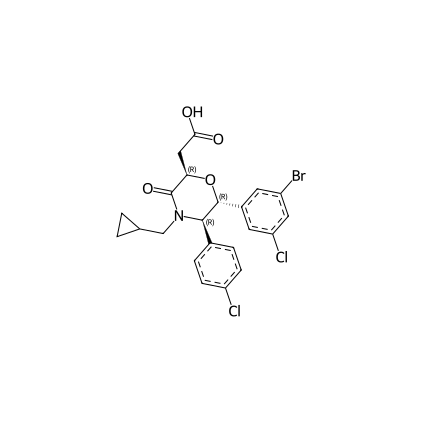 O=C(O)C[C@H]1O[C@H](c2cc(Cl)cc(Br)c2)[C@@H](c2ccc(Cl)cc2)N(CC2CC2)C1=O